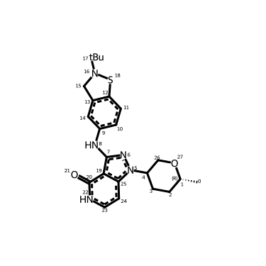 C[C@@H]1CCC(n2nc(Nc3ccc4c(c3)CN(C(C)(C)C)S4)c3c(=O)[nH]ccc32)CO1